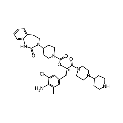 Cc1cc(C[C@@H](OC(=O)N2CCC(N3CCc4ccccc4NC3=O)CC2)C(=O)N2CCN(C3CCNCC3)CC2)cc(Cl)c1N